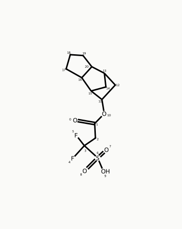 O=C(CC(F)(F)S(=O)(=O)O)OC1CC2CC1C1CCCC21